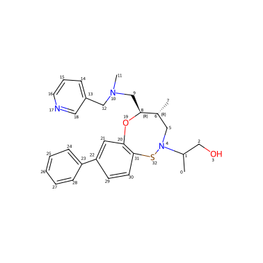 CC(CO)N1C[C@@H](C)[C@H](CN(C)Cc2cccnc2)Oc2cc(-c3ccccc3)ccc2S1